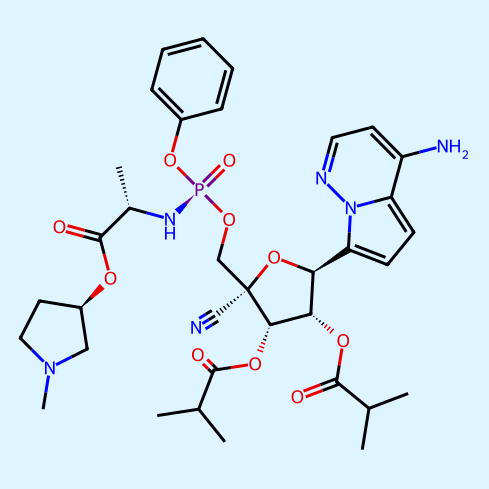 CC(C)C(=O)O[C@H]1[C@H](c2ccc3c(N)ccnn23)O[C@](C#N)(CO[P@](=O)(N[C@@H](C)C(=O)O[C@@H]2CCN(C)C2)Oc2ccccc2)[C@H]1OC(=O)C(C)C